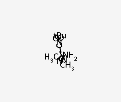 Cc1nc(C)c(C#CC2CCN(C(=O)OC(C)(C)C)CC2)c(N)n1